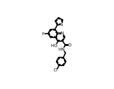 O=C(NCc1ccc(Cl)cc1)c1cnc2c(-c3cccs3)cc(F)cc2c1O